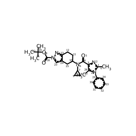 Cc1nc(C(=O)N(C2CC2)C2CCc3nn(C(=O)OC(C)(C)C)cc3C2)c(C)n1-c1ccccc1